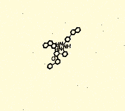 c1ccc(-c2cccc3c2oc2cccc(-c4ccccc4C4NC(c5ccc(-c6ccc7ccccc7c6)cc5)NC(c5ccc6c(ccc7ccccc76)c5)N4)c23)cc1